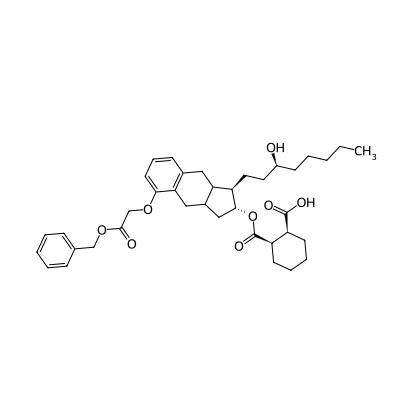 CCCCC[C@H](O)CC[C@@H]1C2Cc3cccc(OCC(=O)OCc4ccccc4)c3CC2C[C@H]1OC(=O)[C@@H]1CCCC[C@@H]1C(=O)O